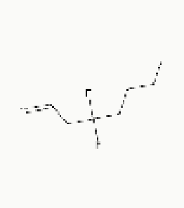 [CH]=CCC(F)(F)CCCC